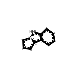 c1ccc2c(c1)[nH]n1cccc21